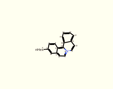 CCCCCCc1ccc2c(cc[n+]3ccc4ccccc4c23)c1